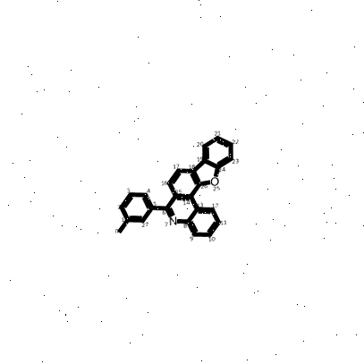 Cc1cccc(-c2nc3ccccc3c3c2ccc2c4ccccc4oc23)c1